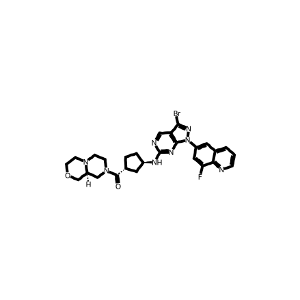 O=C([C@@H]1CC[C@@H](Nc2ncc3c(Br)nn(-c4cc(F)c5ncccc5c4)c3n2)C1)N1CCN2CCOC[C@@H]2C1